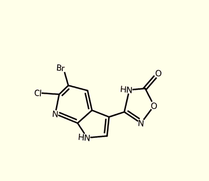 O=c1[nH]c(-c2c[nH]c3nc(Cl)c(Br)cc23)no1